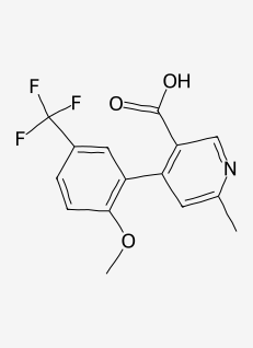 COc1ccc(C(F)(F)F)cc1-c1cc(C)ncc1C(=O)O